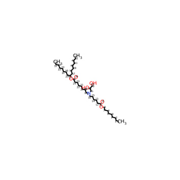 CCCCCCCCCOC(=O)CCCCCN(CCCCCCCC(=O)OC(CCCCCCCC)CCCCCCCC)CC(O)CO